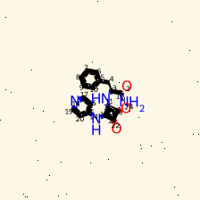 NC(=O)[C@H](Cc1ccccc1)Nc1c(Nc2ccncc2)c(=O)c1=O